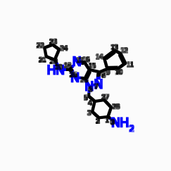 NC1CCC(Cn2nc(-c3ccccc3)c3cnc(NC4CCCC4)nc32)CC1